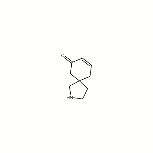 O=C1C=CCC2(CCNC2)C1